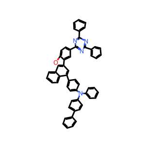 c1ccc(-c2ccc(N(c3ccccc3)c3ccc(-c4cc5c6cc(-c7nc(-c8ccccc8)nc(-c8ccccc8)n7)ccc6oc5c5ccccc45)cc3)cc2)cc1